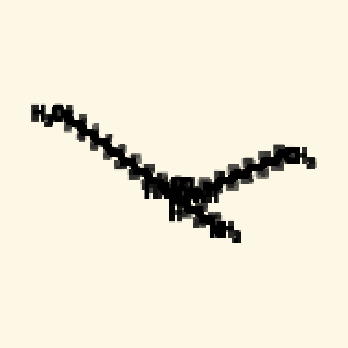 CCCCCCCCCCCCCCCCNC(=O)NC(CCCCN)C(=O)NCCCCCCCCCCCC